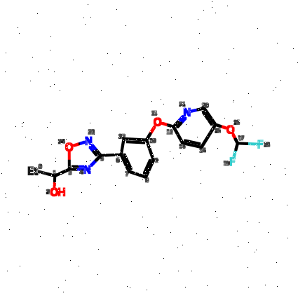 CCC(O)c1nc(-c2cccc(Oc3ccc(OC(F)F)cn3)c2)no1